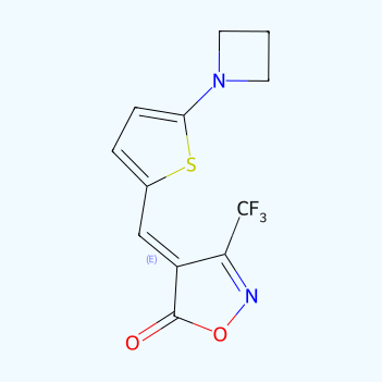 O=C1ON=C(C(F)(F)F)/C1=C\c1ccc(N2CCC2)s1